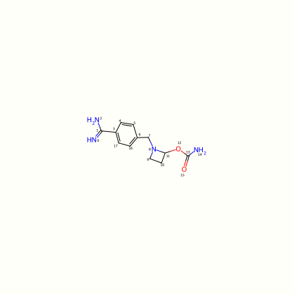 N=C(N)c1ccc(CN2CCC2OC(N)=O)cc1